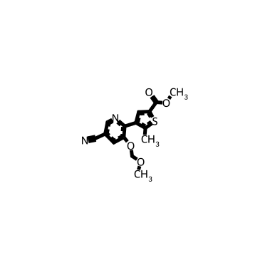 COCOc1cc(C#N)cnc1-c1cc(C(=O)OC)sc1C